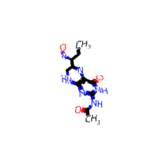 CCC(N=O)C1=Nc2c(nc(NC(C)=O)[nH]c2=O)NC1